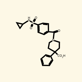 O=C(c1ccc(S(=O)(=O)NC2CC2)cc1)N1CCC(C(=O)O)(c2ccccc2)CC1